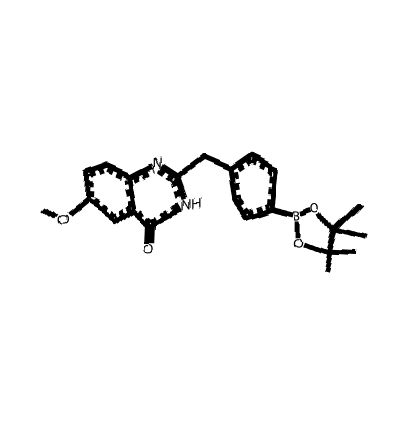 COc1ccc2nc(Cc3ccc(B4OC(C)(C)C(C)(C)O4)cc3)[nH]c(=O)c2c1